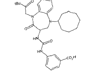 CC(C)(C)C(=O)CN1C(=O)C(NC(=O)Nc2cccc(C(=O)O)c2)CN(C2CCCCCCC2)c2ccccc21